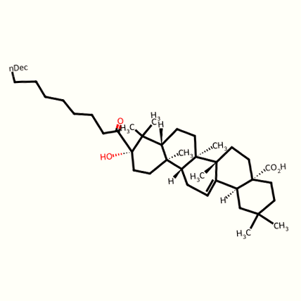 CCCCCCCCCCCCCCCCCC(=O)[C@]1(O)CC[C@]2(C)[C@H]3CC=C4[C@@H]5CC(C)(C)CC[C@]5(C(=O)O)CC[C@@]4(C)[C@]3(C)CC[C@H]2C1(C)C